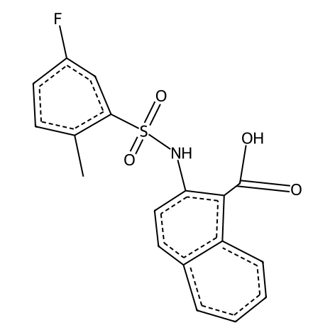 Cc1ccc(F)cc1S(=O)(=O)Nc1ccc2ccccc2c1C(=O)O